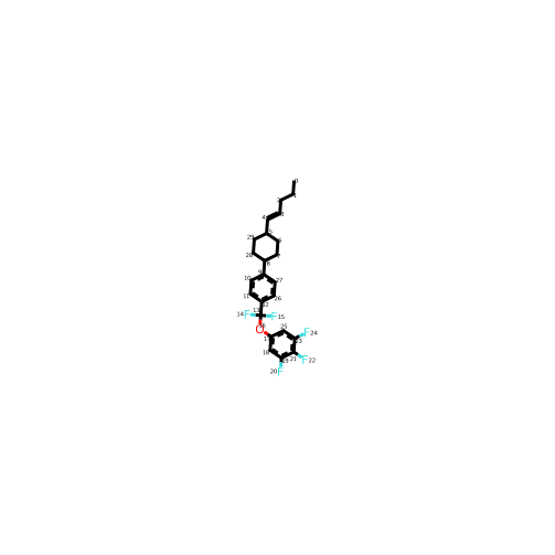 CCC/C=C/C1CCC(c2ccc(C(F)(F)Oc3cc(F)c(F)c(F)c3)cc2)CC1